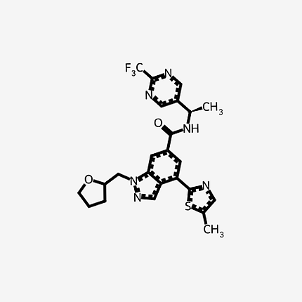 Cc1cnc(-c2cc(C(=O)N[C@H](C)c3cnc(C(F)(F)F)nc3)cc3c2cnn3CC2CCCO2)s1